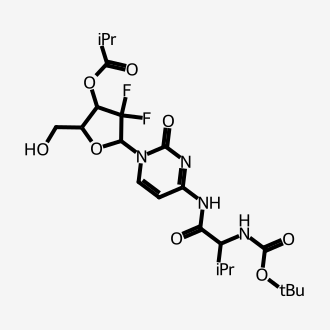 CC(C)C(=O)OC1C(CO)OC(n2ccc(NC(=O)C(NC(=O)OC(C)(C)C)C(C)C)nc2=O)C1(F)F